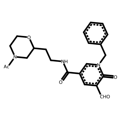 CC(=O)N1CCOC(CCNC(=O)c2cc(C=O)c(=O)n(Cc3ccccc3)c2)C1